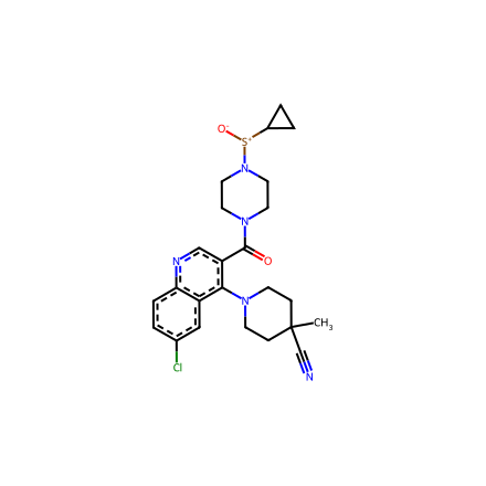 CC1(C#N)CCN(c2c(C(=O)N3CCN([S+]([O-])C4CC4)CC3)cnc3ccc(Cl)cc23)CC1